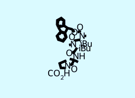 CC[C@H](C)[C@@H](C(=O)N(C)[C@H](C(=O)NC(C)(C)C(=O)N1CCC[C@H]1C(=O)O)[C@@H](C)CC)N(C)C(=O)OCC1c2ccccc2-c2ccccc21